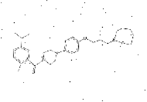 Cc1ccc(C(C)C)cc1C(=O)N1CCN(c2ccc(OCCCN3CCCCCC3)cc2)CC1